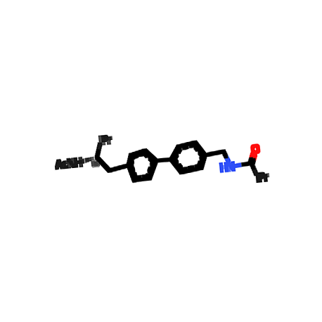 CC(=O)N[C@@H](Cc1ccc(-c2ccc(CNC(=O)C(C)C)cc2)cc1)C(C)C